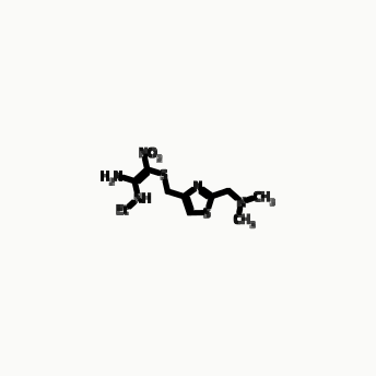 CCNC(N)=C(SCc1csc(CN(C)C)n1)[N+](=O)[O-]